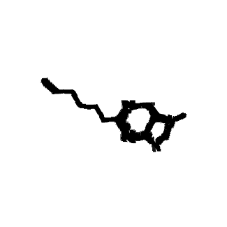 CCCCCCc1n[c]c2c(ncn2C)n1